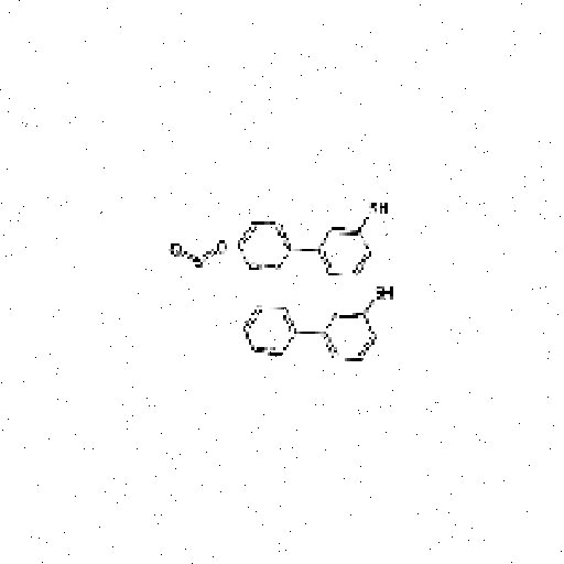 O=S=O.Sc1cccc(-c2ccccc2)c1.Sc1cccc(-c2ccccc2)c1